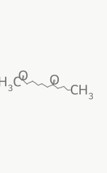 CCCCC(=O)CCCCCC(C)=O